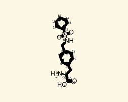 N[C@@H](Cc1ccc(CNS(=O)(=O)c2ccccc2)cc1)C(=O)O